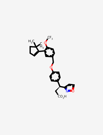 CC1(C)CCC=C1c1cc(COc2ccc([C@H](CC(=O)O)c3ccon3)cc2)ccc1OC(F)(F)F